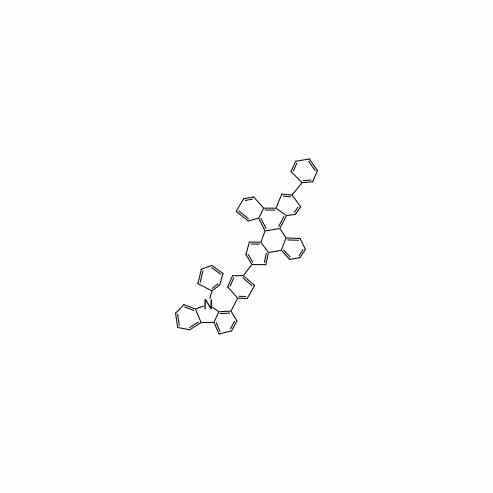 c1ccc(-c2ccc3c(c2)c2ccccc2c2c4ccc(-c5ccc(-c6cccc7c8ccccc8n(-c8ccccc8)c67)cc5)cc4c4ccccc4c32)cc1